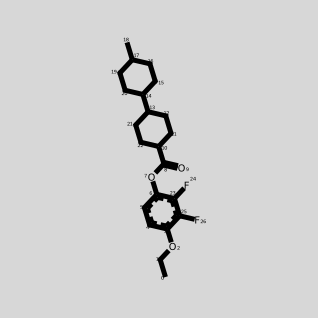 CCOc1ccc(OC(=O)C2CCC(C3CCC(C)CC3)CC2)c(F)c1F